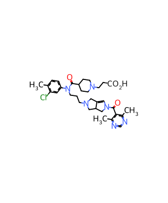 Cc1ccc(N(CCCN2CC3=CN(C(=O)c4c(C)ncnc4C)CC3C2)C(=O)C2CCN(CCC(=O)O)CC2)cc1Cl